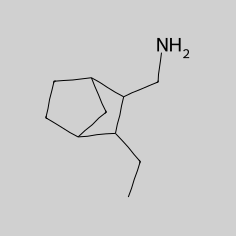 CCC1C2CCC(C2)C1CN